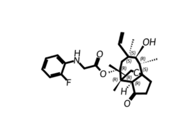 C=C[C@]1(C)C[C@@H](OC(=O)CNc2ccccc2F)[C@]2(C)[C@H](C)CC[C@]3(CCC(=O)[C@H]32)[C@@H](C)[C@@H]1O